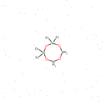 CC[Si]1(CC)O[SiH2]O[SiH2]O[Si](CC)(CC)O1